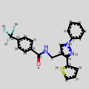 O=C(NCc1cn(-c2ccccc2)nc1-c1cccs1)c1ccc(C(F)(F)F)cc1